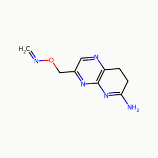 C=NOCc1cnc2c(n1)N=C(N)CC2